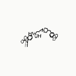 O=c1[nH]c2ccc(NC(O)CCCN3CCC(Cc4ccc5c(c4)OCO5)CC3)cc2o1